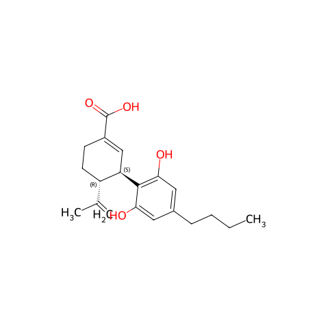 C=C(C)[C@@H]1CCC(C(=O)O)=C[C@H]1c1c(O)cc(CCCC)cc1O